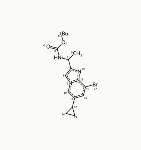 CC(NC(=O)OC(C)(C)C)c1cn2cc(C3CC3)cc(Br)c2n1